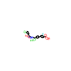 Cl.O=C(O)c1ccc(-c2ccc(CCNC[C@H](O)c3cccc(Cl)c3)cc2)cc1F